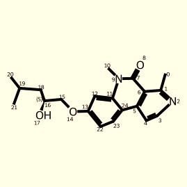 Cc1nccc2c1c(=O)n(C)c1cc(OC[C@@H](O)CC(C)C)ccc21